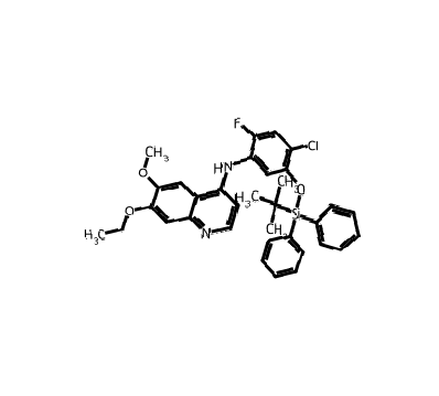 CCOc1cc2nccc(Nc3cc(O[Si](c4ccccc4)(c4ccccc4)C(C)(C)C)c(Cl)cc3F)c2cc1OC